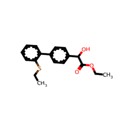 CCOC(=O)C(O)c1ccc(-c2ccccc2SCC)cc1